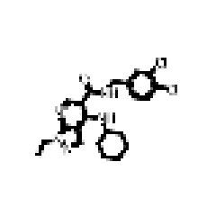 CCn1ncc2c(NC3CCCCC3)c(C(=O)NCc3ccc(Cl)c(Cl)c3)cnc21